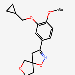 CCCCOc1ccc(C2=NOC3(CCOC3)C2)cc1OCC1CC1